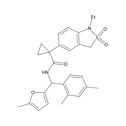 CCN1c2ccc(C3(C(=O)NC(c4ccc(C)o4)c4ccc(C)cc4C)CC3)cc2CS1(=O)=O